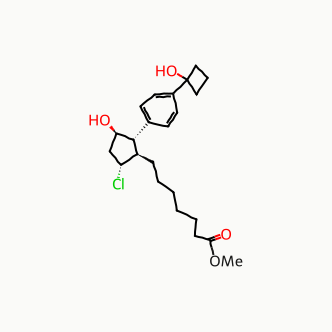 COC(=O)CCCCCC[C@@H]1[C@@H](c2ccc(C3(O)CCC3)cc2)[C@H](O)C[C@H]1Cl